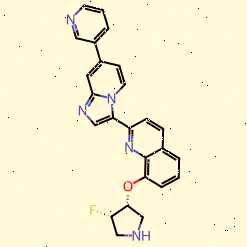 F[C@H]1CNC[C@H]1Oc1cccc2ccc(-c3cnc4cc(-c5cccnc5)ccn34)nc12